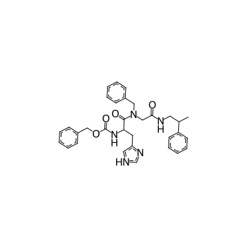 CC(CNC(=O)CN(Cc1ccccc1)C(=O)C(Cc1c[nH]cn1)NC(=O)OCc1ccccc1)c1ccccc1